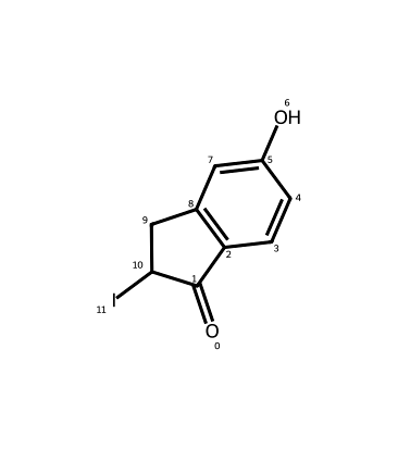 O=C1c2ccc(O)cc2CC1I